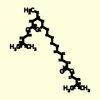 CCC(CCCCCCCCCCCC(=O)OCCC(C)C)CC(=O)OCCC(C)C